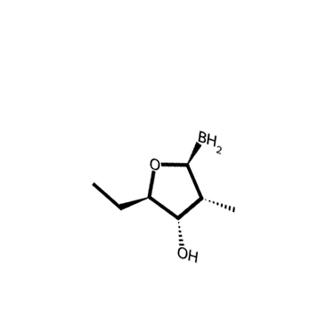 B[C@@H]1O[C@H](CC)[C@@H](O)[C@H]1C